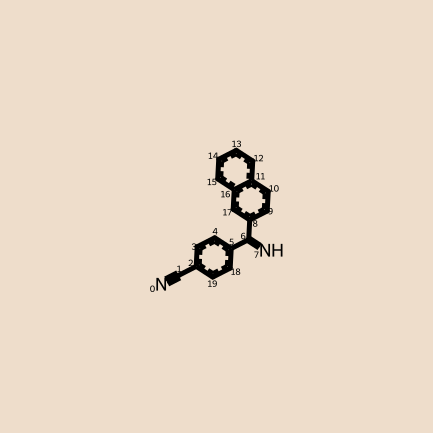 N#Cc1ccc(C(=N)c2ccc3ccccc3c2)cc1